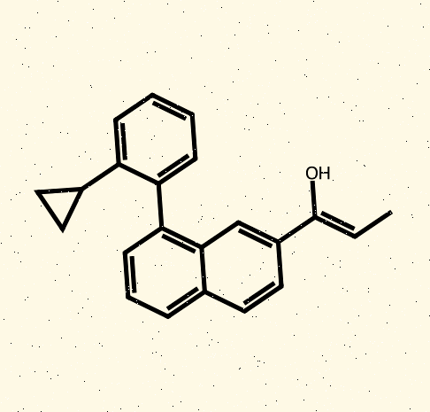 CC=C(O)c1ccc2cccc(-c3ccccc3C3CC3)c2c1